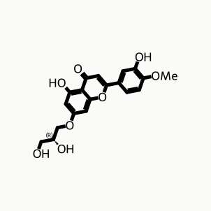 COc1ccc(-c2cc(=O)c3c(O)cc(OC[C@H](O)CO)cc3o2)cc1O